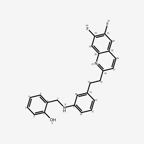 Oc1ccccc1CNc1cccc(CCc2ccc3cc(F)c(F)cc3n2)c1